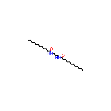 CCCCCCCCCCCC(=O)NCCCNC(=O)CCCCCCCCCCC